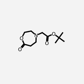 CC(C)(C)OC(=O)CN1CCOC(=O)CC1